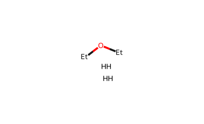 CCOCC.[HH].[HH]